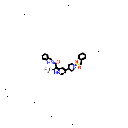 O=C(NCc1ccccc1)c1c(C(F)(F)F)nn2ccc(C3CCN(S(=O)(=O)Cc4ccccc4)CC3)cc12